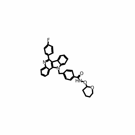 O=C(NOC1CCCCO1)c1ccc(Cn2c3ccccc3c3c(-c4ccc(F)cc4)nc4ccccc4c32)cc1